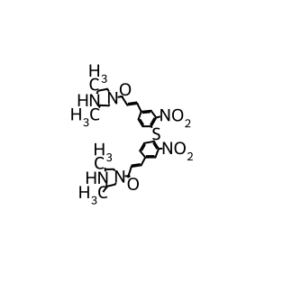 CC1CN(C(=O)C=Cc2ccc(Sc3ccc(C=CC(=O)N4CC(C)NC(C)C4)cc3[N+](=O)[O-])c([N+](=O)[O-])c2)CC(C)N1